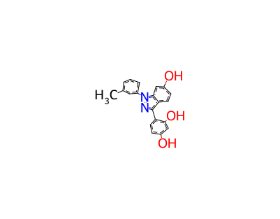 Cc1cccc(-n2nc(-c3ccc(O)cc3O)c3ccc(O)cc32)c1